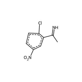 CC(=N)c1cc([N+](=O)[O-])ccc1Cl